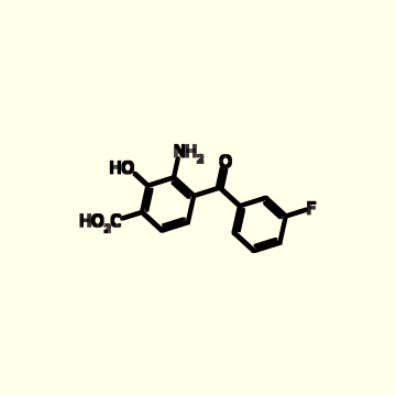 Nc1c(C(=O)c2cccc(F)c2)ccc(C(=O)O)c1O